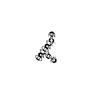 C[C@H](c1nc2c(cc1F)OCC([C@@H](c1nc3c(cc1F)OCCO3)N1CCN(c3ncccn3)C[C@@H]1C)O2)N1CCN(c2ncccn2)C[C@@H]1C